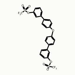 O=S(=O)(Oc1cccc(-c2ccc(Oc3ccc(-c4cccc(OS(=O)(=O)C(F)(F)F)c4)cc3)cc2)c1)C(F)(F)F